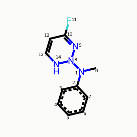 CN(c1ccccc1)N1N=C(F)C=[C]N1